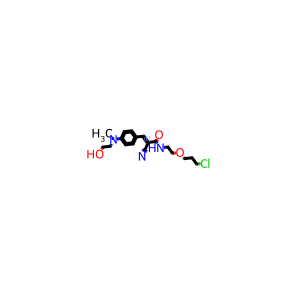 CN(CCO)c1ccc(/C=C(\C#N)C(=O)NCCOCCCCl)cc1